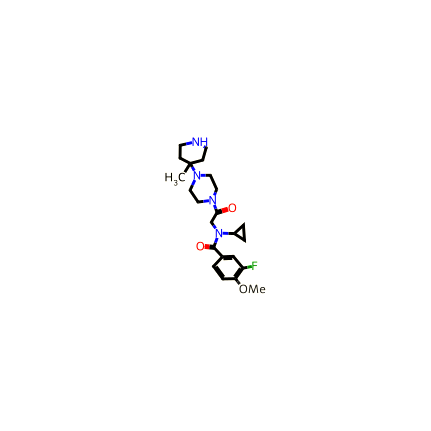 COc1ccc(C(=O)N(CC(=O)N2CCN(C3(C)CCNCC3)CC2)C2CC2)cc1F